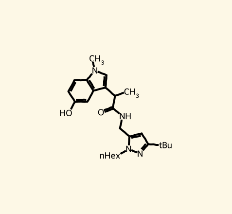 CCCCCCn1nc(C(C)(C)C)cc1CNC(=O)C(C)c1cn(C)c2ccc(O)cc12